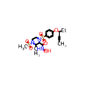 CC#CC(CC)Oc1ccc(S(=O)(=O)N2CCN(S(C)(=O)=O)C(C)C2C(=O)NO)cc1